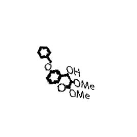 COC(=O)C(OC)C(O)c1cccc(OCc2ccccc2)c1